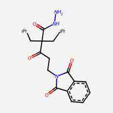 CC(C)CC(CC(C)C)(C(=O)CCN1C(=O)c2ccccc2C1=O)C(=O)NN